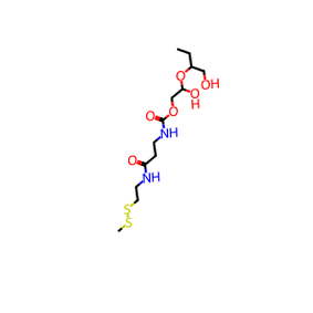 CCC(CO)OC(O)COC(=O)NCCC(=O)NCCSSC